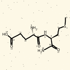 CSCC[C@H](NC(=O)[C@@H](N)CCC(=O)O)C(N)=O